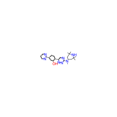 CN(c1ncc(-c2ccc(-c3ncccn3)cc2O)nn1)C1CC(C)(C)NC(C)(C)C1